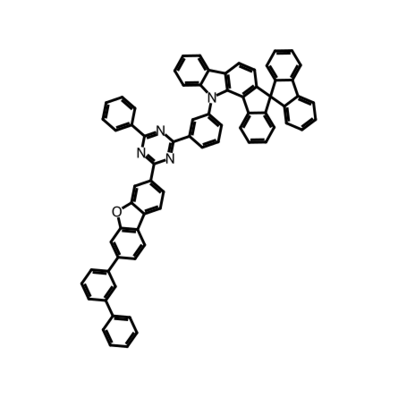 c1ccc(-c2cccc(-c3ccc4c(c3)oc3cc(-c5nc(-c6ccccc6)nc(-c6cccc(-n7c8ccccc8c8ccc9c(c87)-c7ccccc7C97c8ccccc8-c8ccccc87)c6)n5)ccc34)c2)cc1